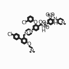 CN(C)CCOc1ccc(-c2ccc(Cl)cc2)c(CN2CCN(c3ccc(C(=O)NS(=O)(=O)c4ccc(NC5CCN(C)CC5)c([N+](=O)[O-])c4)c(Oc4cccc(Cl)c4)c3)CC2)c1